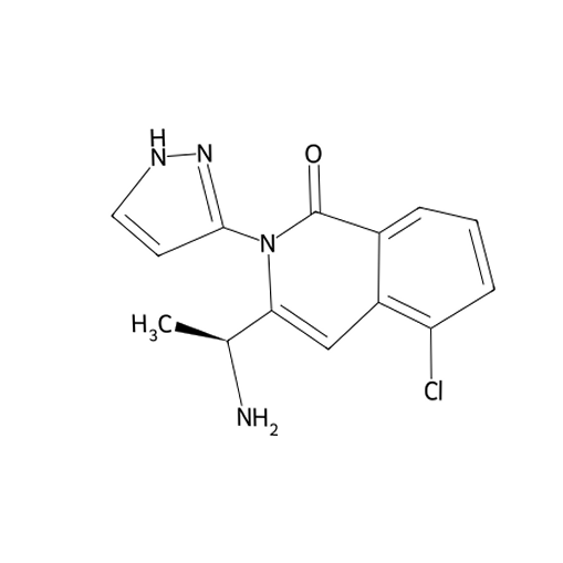 C[C@H](N)c1cc2c(Cl)cccc2c(=O)n1-c1cc[nH]n1